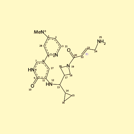 CNc1ccnc(-c2c[nH]c(=O)c(NC(C3CC3)C3CN(C(=O)/C=C/CN)C3)c2)c1